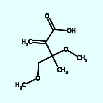 C=C(C(=O)O)C(C)(COC)OC